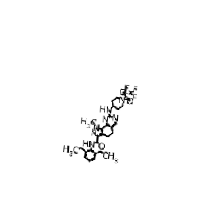 CCc1cccc(CC)c1NC(=O)c1nn(C)c2c1CCc1cnc(NC3CCN(S(=O)(=O)C(F)(F)F)CC3)nc1-2